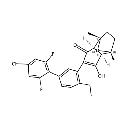 CCc1ccc(-c2c(F)cc(Cl)cc2F)cc1C1=C(O)[C@H]2[C@@H](C1=O)[C@]1(C)CC[C@@]2(C)O1